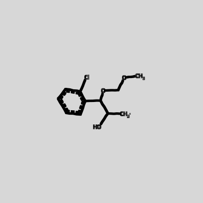 [CH2]C(O)C(OCOC)c1ccccc1Cl